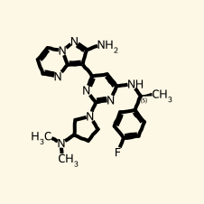 C[C@H](Nc1cc(-c2c(N)nn3cccnc23)nc(N2CCC(N(C)C)C2)n1)c1ccc(F)cc1